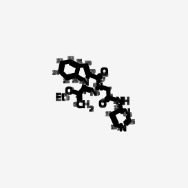 C=C(OCC)c1nn(CC(=O)Nc2ccncn2)c(=O)c2cc3ccccc3n12